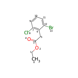 CCOC(=O)Cc1c(Cl)cccc1Br